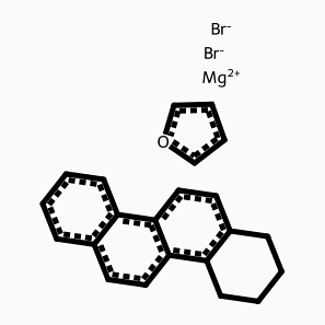 [Br-].[Br-].[Mg+2].c1ccc2c(c1)ccc1c3c(ccc12)CCCC3.c1ccoc1